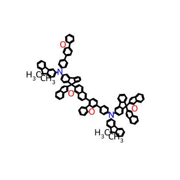 CC1(C)c2ccccc2-c2cc(N(c3ccc(-c4ccc(-c5ccc6c7c(ccc6c5)C5(c6ccccc6-c6cc(N(c8ccc(-c9ccc%10c(c9)oc9ccccc9%10)cc8)c8ccc9c(c8)-c8ccccc8C9(C)C)ccc65)c5ccc6ccccc6c5O7)c5c4oc4ccccc45)cc3)c3ccc4c(c3)-c3ccccc3C43c4ccc5ccccc5c4Oc4c3ccc3ccccc43)ccc21